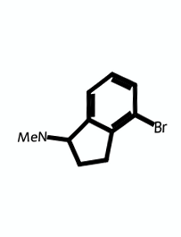 CNC1CCc2c(Br)cccc21